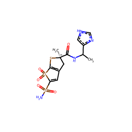 CC(NC(=O)[C@@]1(C)CC2=C(S1)S(=O)(=O)C(S(N)(=O)=O)=C2)c1c[nH]cn1